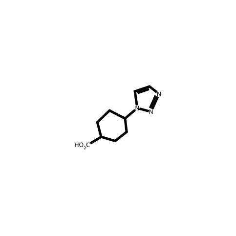 O=C(O)C1CCC(n2ccnn2)CC1